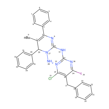 CCCCC1=C(c2ccccc2)N=C(Nc2nc(Cl)c(Cc3ccccc3)c(I)n2)N(N)C1c1ccccc1